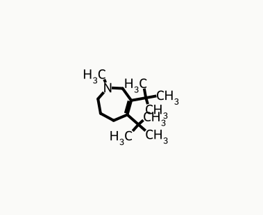 CN1CCCC(C(C)(C)C)=C(C(C)(C)C)C1